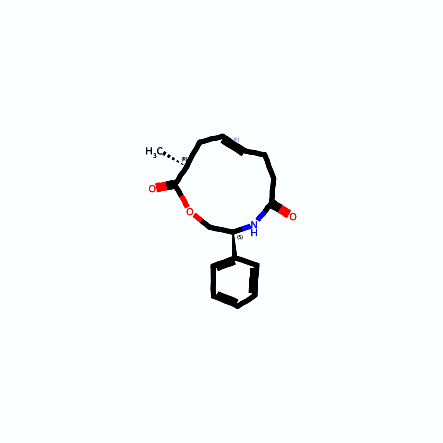 C[C@@H]1C/C=C/CCC(=O)N[C@@H](c2ccccc2)COC1=O